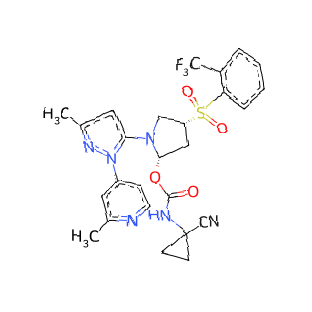 Cc1cc(-n2nc(C)cc2N2C[C@H](S(=O)(=O)c3ccccc3C(F)(F)F)C[C@@H]2OC(=O)NC2(C#N)CC2)ccn1